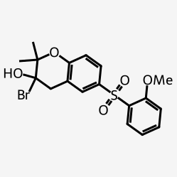 COc1ccccc1S(=O)(=O)c1ccc2c(c1)CC(O)(Br)C(C)(C)O2